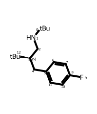 CC(C)(C)NC[C@@H](Cc1ccc(F)cc1)C(C)(C)C